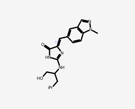 CC(C)CC(CO)NC1=N/C(=C\c2ccc3c(cnn3C)c2)C(=O)N1